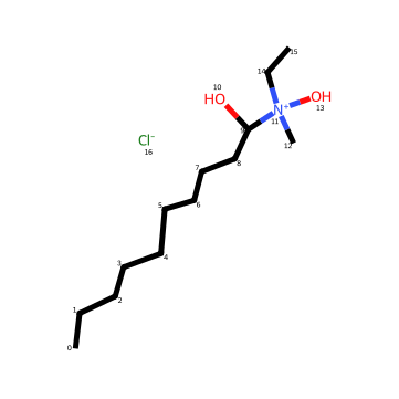 CCCCCCCCCC(O)[N+](C)(O)CC.[Cl-]